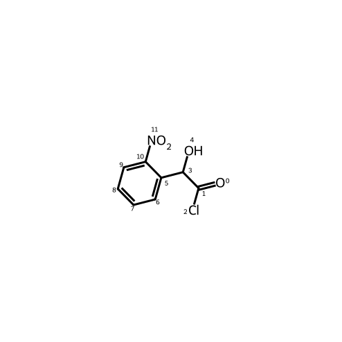 O=C(Cl)C(O)c1ccccc1[N+](=O)[O-]